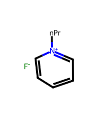 CCC[n+]1ccccc1.[F-]